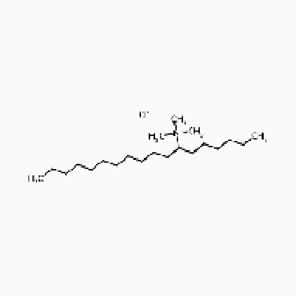 CCCCCCCCCCCC(CCCCCC)[N+](C)(C)C.[Cl-]